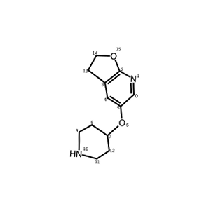 c1nc2c(cc1OC1CCNCC1)CCO2